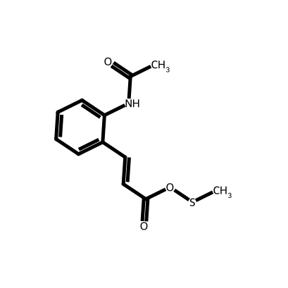 CSOC(=O)C=Cc1ccccc1NC(C)=O